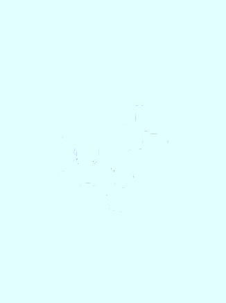 CCC1(c2ccc(Cl)c(OC)c2)CCCc2nc(SCc3c(F)cccc3Cl)n(-c3ccc(F)cc3)c21